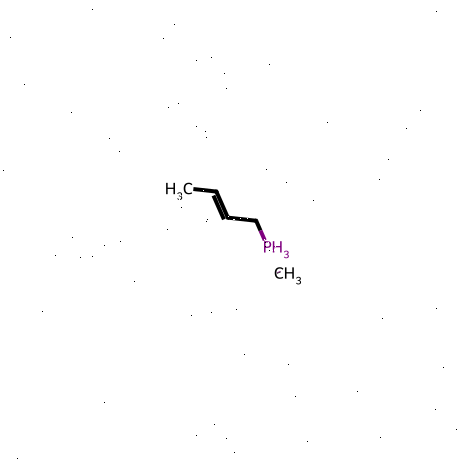 CC=CC[PH3]C